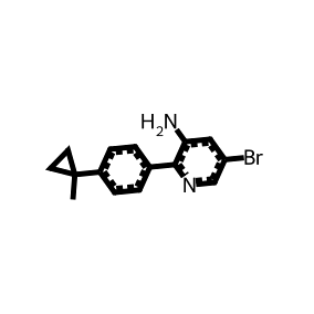 CC1(c2ccc(-c3ncc(Br)cc3N)cc2)CC1